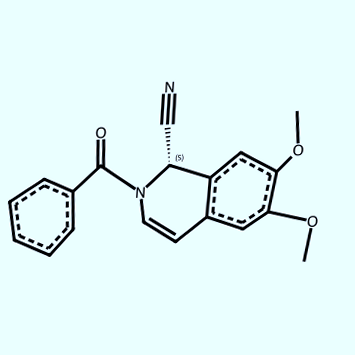 COc1cc2c(cc1OC)[C@@H](C#N)N(C(=O)c1ccccc1)C=C2